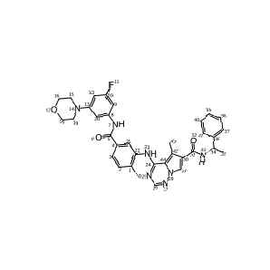 Cc1ccc(C(=O)Nc2cc(F)cc(N3CCOCC3)c2)cc1Nc1ncnn2cc(C(=O)NC(C)c3ccccc3)c(C)c12